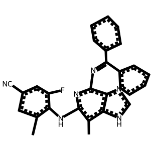 Cc1cc(C#N)cc(F)c1Nc1nc(N=C(c2ccccc2)c2ccccc2)c2nc[nH]c2c1C